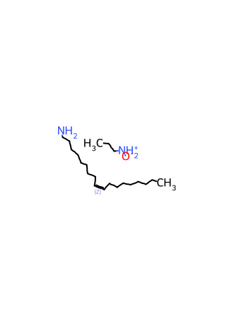 CCCCCCCC/C=C\CCCCCCCCN.CCC[NH2+][O-]